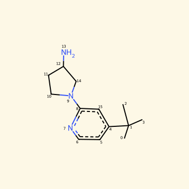 CC(C)(C)c1ccnc(N2CCC(N)C2)c1